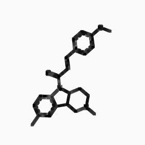 COc1ccc(/C=C/C(=O)N2c3ccc(C)cc3C3CN(C)CCC32)cc1